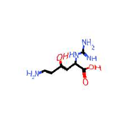 N=C(N)NC(CC(O)CCN)C(=O)O